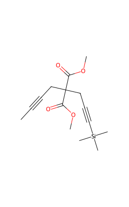 CC#CCC(CC#C[Si](C)(C)C)(C(=O)OC)C(=O)OC